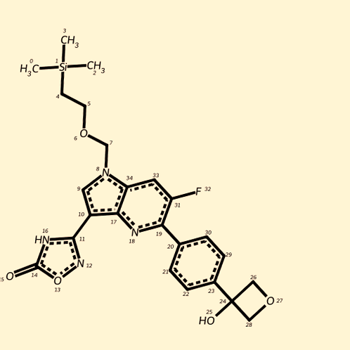 C[Si](C)(C)CCOCn1cc(-c2noc(=O)[nH]2)c2nc(-c3ccc(C4(O)COC4)cc3)c(F)cc21